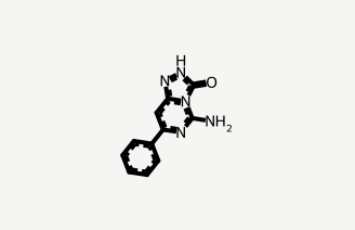 Nc1nc(-c2ccccc2)cc2n[nH]c(=O)n12